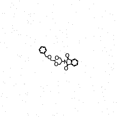 O=C1c2ccccc2C(=O)N1C1COC(COCc2ccccc2)OC1